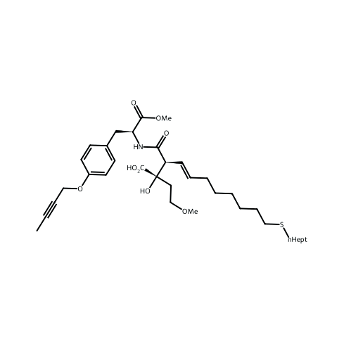 CC#CCOc1ccc(C[C@H](NC(=O)[C@@H](C=CCCCCCCSCCCCCCC)[C@@](O)(CCOC)C(=O)O)C(=O)OC)cc1